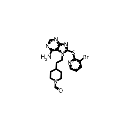 Nc1ncnc2nc(Sc3ncccc3Br)n(CCC3CCN(C=O)CC3)c12